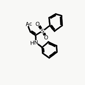 CC(=O)C=C(Nc1ccccc1)S(=O)(=O)c1ccccc1